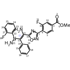 COC(=O)c1ccc(-c2noc(/C(N)=C(\c3ccccc3)N(N)c3ccccc3F)n2)c(F)c1